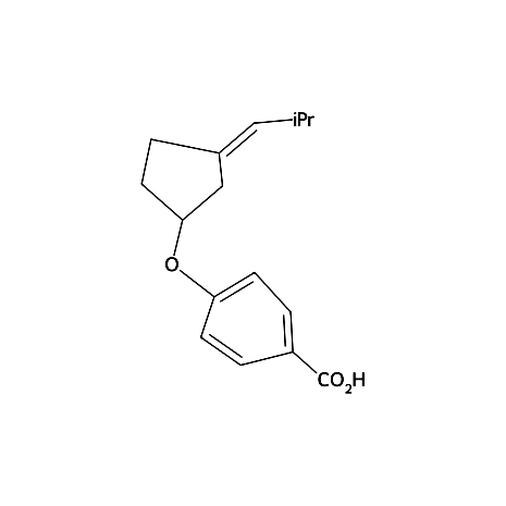 CC(C)/C=C1/CCC(Oc2ccc(C(=O)O)cc2)C1